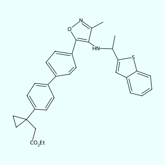 CCOC(=O)CC1(c2ccc(-c3ccc(-c4onc(C)c4NC(C)c4cc5ccccc5s4)cc3)cc2)CC1